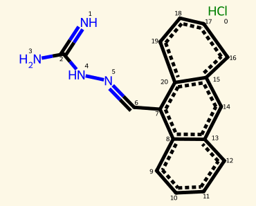 Cl.N=C(N)NN=Cc1c2ccccc2cc2ccccc12